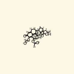 CCC[C@]1(C(=O)O)CCC2C3CCC4=CC(=O)C(OC[O])=C(C(C)OC(C)=O)[C@]4(C)[C@@]3(F)[C@@H](O)C[C@@]21C